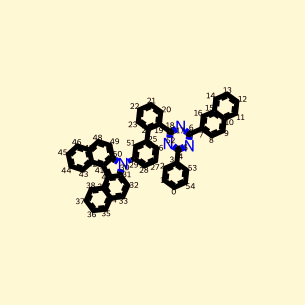 c1ccc(-c2nc(-c3ccc4ccccc4c3)nc(-c3ccccc3-c3cccc(-n4c5ccc6ccccc6c5c5c6ccccc6ccc54)c3)n2)cc1